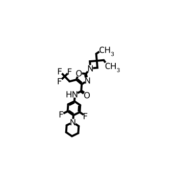 CCC1(CC)CN(c2nc(C(=O)Nc3cc(F)c(N4CCCCC4)c(F)c3)c(CC(F)(F)F)o2)C1